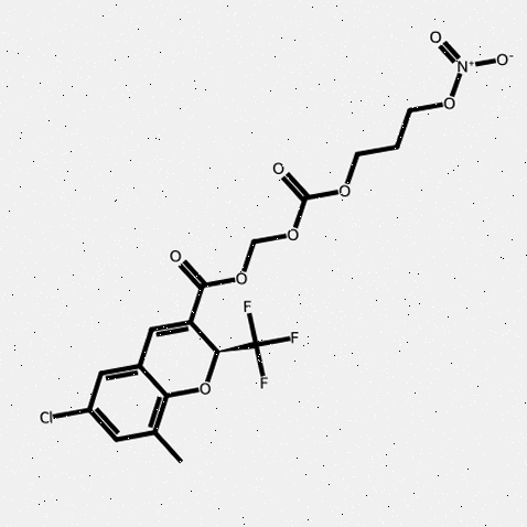 Cc1cc(Cl)cc2c1O[C@H](C(F)(F)F)C(C(=O)OCOC(=O)OCCCO[N+](=O)[O-])=C2